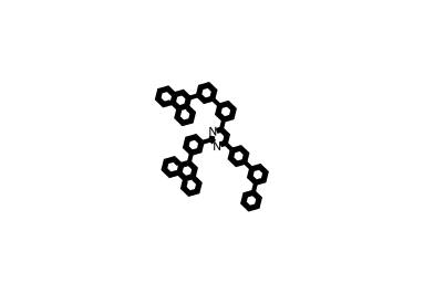 c1ccc(-c2cccc(-c3ccc(-c4cc(-c5cccc(-c6cccc(-c7cc8ccccc8c8ccccc78)c6)c5)nc(-c5cccc(-c6cc7ccccc7c7ccccc67)c5)n4)cc3)c2)cc1